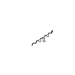 C=CCOCNCOCCCC